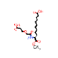 COC(=O)[C@H](CCCCCCCCCC(=O)O)NC(=O)COCCC(=O)O